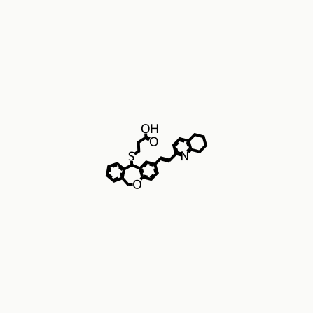 O=C(O)CCSC1c2ccccc2COc2ccc(/C=C/c3ccc4c(n3)CCCC4)cc21